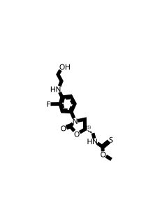 COC(=S)NC[C@H]1CN(c2ccc(NCCO)c(F)c2)C(=O)O1